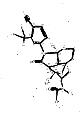 CN(C(=O)O)[C@@H]1C[C@@]23CCO[C@H]4[C@@H]2[C@H](C(=O)N4c2ccc(C#N)c(C(F)(F)F)c2)[C@]1(C)O3